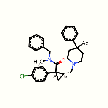 CC(=O)C1(c2ccccc2)CCN(C[C@@H]2C[C@@]2(C(=O)N(C)Cc2ccccc2)c2ccc(Cl)cc2)CC1